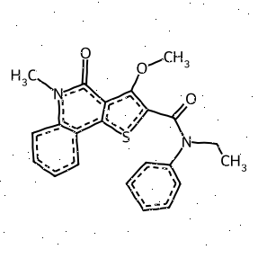 CCN(C(=O)c1sc2c(c1OC)c(=O)n(C)c1ccccc21)c1ccccc1